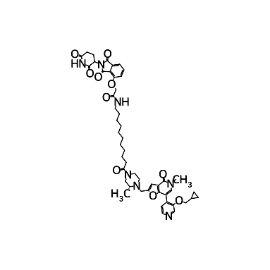 C[C@@H]1CN(C(=O)CCCCCCCCCCNC(=O)COc2cccc3c2C(=O)N(C2CCC(=O)NC2=O)C3=O)CCN1Cc1cc2c(=O)n(C)cc(-c3ccncc3OCC3CC3)c2o1